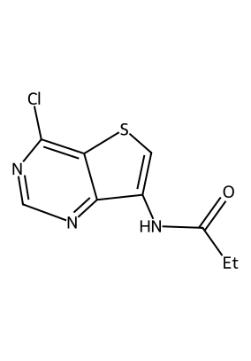 CCC(=O)Nc1csc2c(Cl)ncnc12